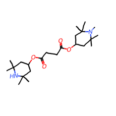 CN1C(C)(C)CC(OC(=O)CCC(=O)OC2CC(C)(C)NC(C)(C)C2)CC1(C)C